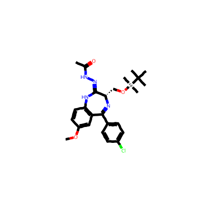 COc1ccc2c(c1)C(c1ccc(Cl)cc1)=N[C@@H](CO[Si](C)(C)C(C)(C)C)/C(=N/NC(C)=O)N2